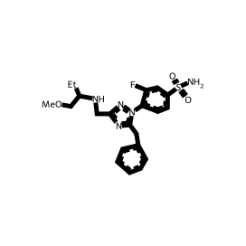 CCC(COC)NCc1nc(Cc2ccccc2)n(-c2ccc(S(N)(=O)=O)cc2F)n1